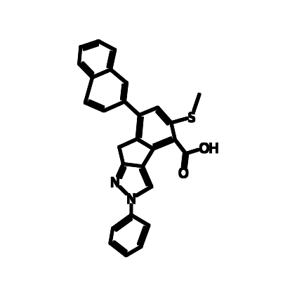 CSc1cc(-c2ccc3ccccc3c2)c2c(c1C(=O)O)-c1cn(-c3ccccc3)nc1C2